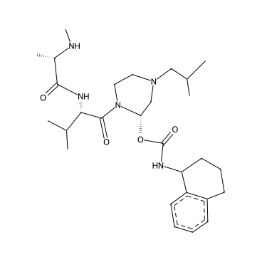 CN[C@@H](C)C(=O)N[C@H](C(=O)N1CCN(CC(C)C)C[C@@H]1OC(=O)NC1CCCc2ccccc21)C(C)C